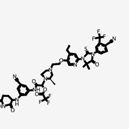 CCc1cc(N2C(=S)N(c3ccc(C#N)c(C(F)(F)F)c3)C(=O)C2(C)C)ncc1OCCN1CCN(C(OC(=O)C(F)(F)F)C(=O)Nc2cc(C#N)cc(NC3CCC(=O)NC3=O)c2)[C@H](C)C1